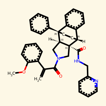 C=C(C(=O)N1C[C@H]2[C@@]3(c4ccccc4)CC[C@H](c4ccccc43)[C@@]2(C(=O)NCc2ccccn2)C1)c1ccccc1OC